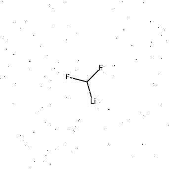 [Li][C](F)F